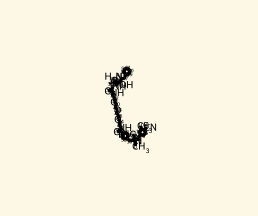 Cc1nn(-c2ccc(C#N)c(C(F)(F)F)c2)c(C)c1Cc1ccc(C(=O)NCCOCCOCCOCCNC(=O)[C@H](CC(C)C)NC(=O)[C@@H](O)[C@H](N)Cc2ccccc2)cc1